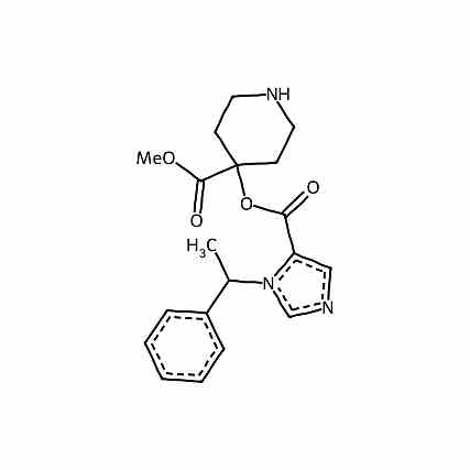 COC(=O)C1(OC(=O)c2cncn2C(C)c2ccccc2)CCNCC1